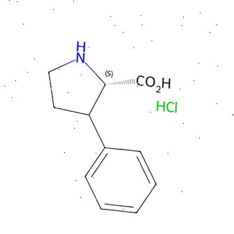 Cl.O=C(O)[C@H]1NCCC1c1ccccc1